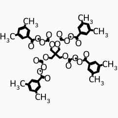 Cc1cc(C)cc(C(=O)OOC(=O)OCC(COC(=O)OOC(=O)c2cc(C)cc(C)c2)(COC(=O)OOC(=O)c2cc(C)cc(C)c2)COC(=O)OOC(=O)c2cc(C)cc(C)c2)c1